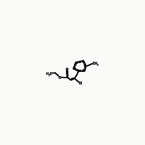 CCOC(=O)/C=C(/Cl)c1cccc(C)c1